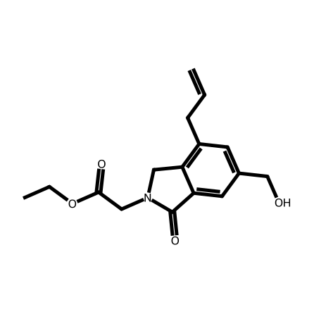 C=CCc1cc(CO)cc2c1CN(CC(=O)OCC)C2=O